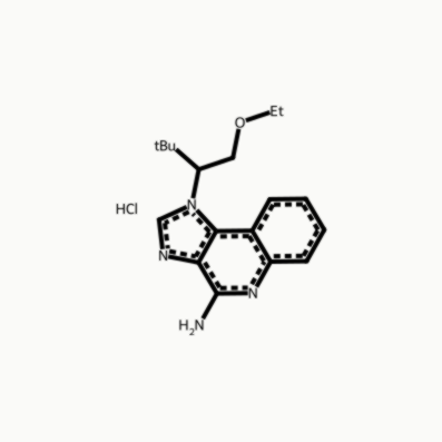 CCOCC(n1cnc2c(N)nc3ccccc3c21)C(C)(C)C.Cl